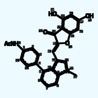 CC(=O)Nc1ccc(-c2cccc3c2c(C=C2Oc4cc(O)cc(O)c4C2=O)cn3C)cc1